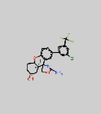 NC1=NC2(CO1)c1cc(-c3cc(Cl)cc(C(F)(F)F)c3)ccc1OC1CC[C@H](O)C[C@@H]12